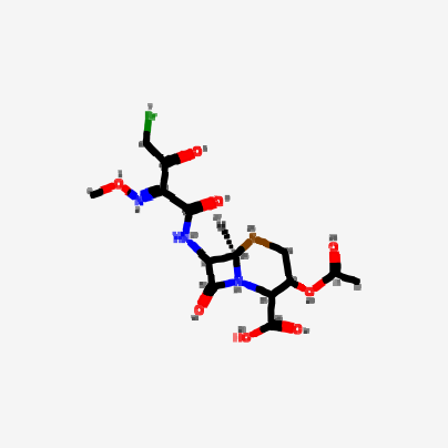 CON=C(C(=O)CBr)C(=O)NC1C(=O)N2C(C(=O)O)C(OC(C)=O)CS[C@H]12